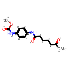 COC(=O)CCCCC(=O)Nc1ccc(NC(=O)OC(C)(C)C)cc1